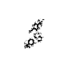 N#Cc1ncc(C(F)(F)F)cc1OC[C@H]1CCCN1C(=O)[C@H]1CC[C@H](C(F)(F)F)CC1